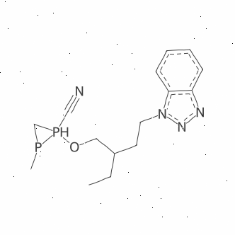 CCC(CCn1nnc2ccccc21)CO[PH]1(C#N)CP1C